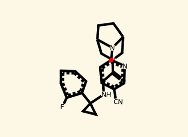 N#Cc1ccc(N2C3CCC2CN(C(=O)CNC2(c4ccccc4F)CC2)C3)nc1